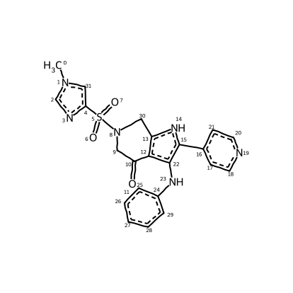 Cn1cnc(S(=O)(=O)N2CC(=O)c3c([nH]c(-c4ccncc4)c3Nc3ccccc3)C2)c1